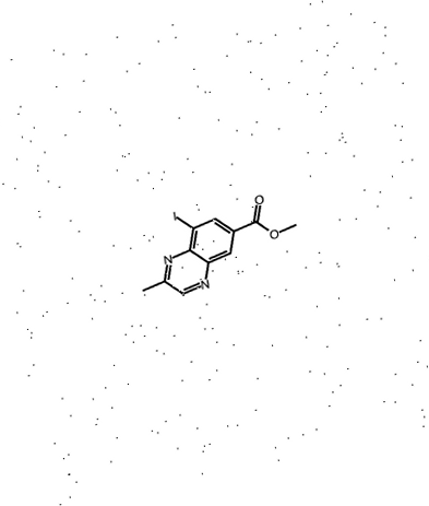 COC(=O)c1cc(I)c2nc(C)cnc2c1